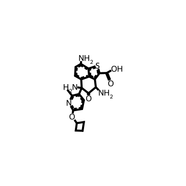 Cc1nc(OC2CCC2)ccc1C1(N)C(=O)C(N)c2c(C(=O)O)sc3c(N)ccc1c23